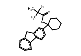 CCC(C)(C(=O)OC1(c2ccc3c(c2)Cc2ccccc2-3)CCCCC1)C(F)(F)F